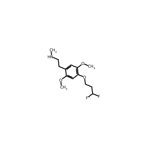 CNCCc1cc(OC)c(OCCC(F)F)cc1OC